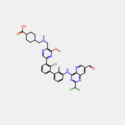 COc1nc(-c2cccc(-c3cccc(Nc4nc(C(F)F)nc5cc(C=O)cnc45)c3C)c2Cl)cnc1CN(C)CC1CCC(C(=O)O)CC1